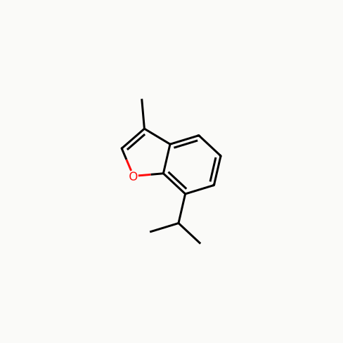 Cc1coc2c(C(C)C)cccc12